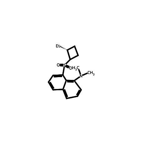 CC[C@@H]1CCC1S(=O)(=O)c1cccc2cccc(N(C)C)c12